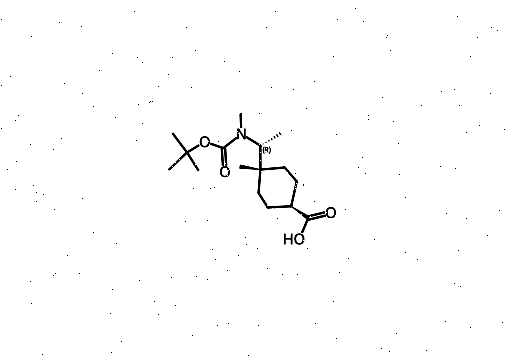 C[C@@H](N(C)C(=O)OC(C)(C)C)[C@]1(C)CC[C@@H](C(=O)O)CC1